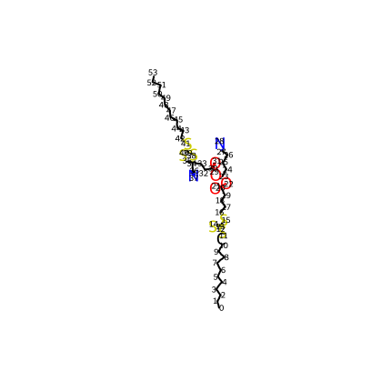 CCCCCCCCCCCCSC(=S)SCCCCC(=O)OC(CCCC#N)OC(=O)CCC(C)(C#N)SC(=S)SCCCCCCCCCCCC